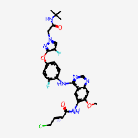 COc1cc2ncnc(Nc3ccc(Oc4nn(CC(=O)NC(C)(C)C)cc4F)cc3F)c2cc1NC(=O)/C=C/CCl